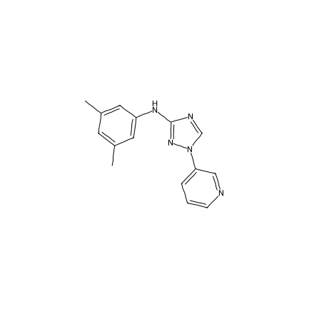 Cc1cc(C)cc(Nc2ncn(-c3cccnc3)n2)c1